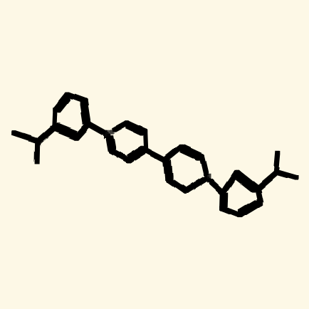 CC(C)c1cccc(N2C=CC(c3cc[n+](-c4cccc(C(C)C)c4)cc3)=CC2)c1